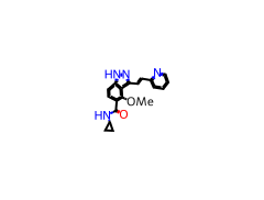 COc1c(C(=O)NC2CC2)ccc2[nH]nc(C=Cc3ccccn3)c12